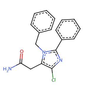 NC(=O)Cc1c(Cl)nc(-c2ccccc2)n1Cc1ccccc1